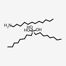 CCCCCCCCCCCCN.CCCCCCCCP(O)(O)(O)CCCCCCCC